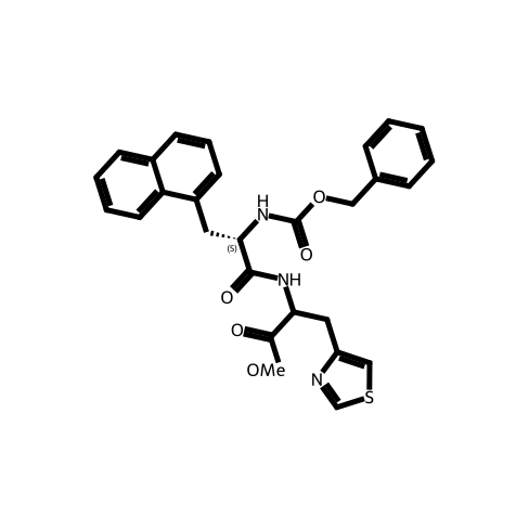 COC(=O)C(Cc1cscn1)NC(=O)[C@H](Cc1cccc2ccccc12)NC(=O)OCc1ccccc1